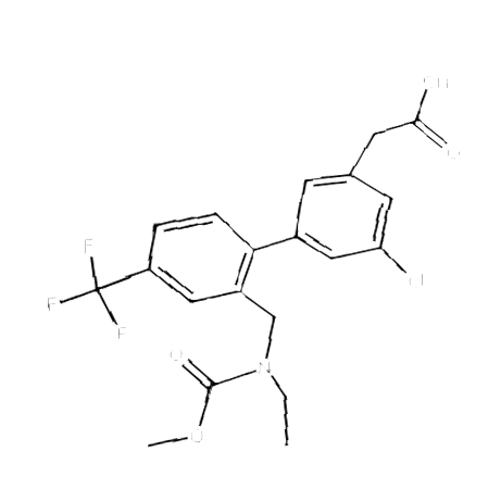 CCN(Cc1cc(C(F)(F)F)ccc1-c1cc(Cl)cc(CC(=O)O)c1)C(=O)OC